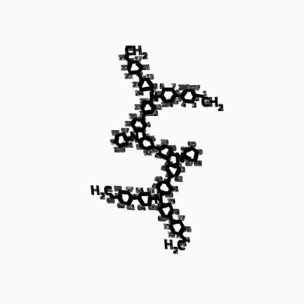 C=Cc1ccc(-c2ccc(N(c3ccc(-c4ccc(C=C)cc4)cc3)c3ccc(-c4ccc5c(c4)c4cc(-c6ccc7c(c6)c6cc(-c8ccc(N(c9ccc(-c%10ccc(C=C)cc%10)cc9)c9ccc(-c%10ccc(C=C)cc%10)cc9)cc8)ccc6n7-c6ccccc6)ccc4n5-c4ccccc4)cc3)cc2)cc1